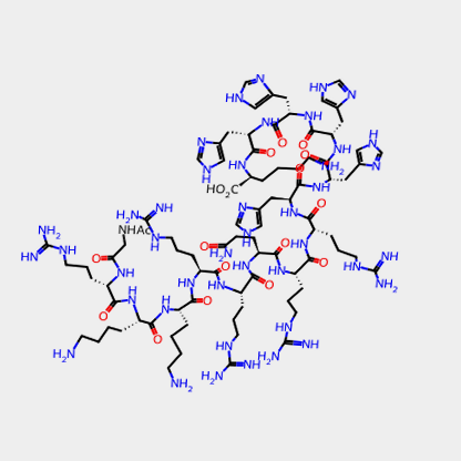 CC(=O)NCC(=O)N[C@@H](CCCNC(=N)N)C(=O)N[C@@H](CCCCN)C(=O)N[C@@H](CCCCN)C(=O)N[C@@H](CCCNC(=N)N)C(=O)N[C@@H](CCCNC(=N)N)C(=O)N[C@@H](CCC(N)=O)C(=O)N[C@@H](CCCNC(=N)N)C(=O)N[C@@H](CCCNC(=N)N)C(=O)N[C@@H](Cc1c[nH]cn1)C(=O)N[C@@H](Cc1c[nH]cn1)C(=O)N[C@@H](Cc1c[nH]cn1)C(=O)N[C@@H](Cc1c[nH]cn1)C(=O)N[C@@H](Cc1c[nH]cn1)C(=O)N[C@@H](CCCCN)C(=O)O